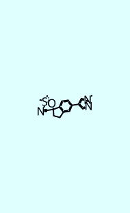 Cn1cc(-c2ccc3c(c2)CCC3(C#N)O[Si](C)(C)C)cn1